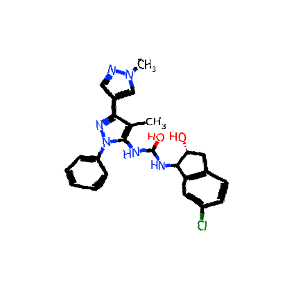 Cc1c(-c2cnn(C)c2)nn(-c2ccccc2)c1NC(O)NC1c2cc(Cl)ccc2C[C@H]1O